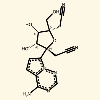 N#CC[C@]1(CO)O[C@](CC#N)(c2ccc3c(N)ncnn23)[C@H](O)[C@@H]1O